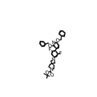 CC(C)(C)OC(=O)N1CCC2(CC1)CN(c1cc(F)c(-c3ccc(OCc4ccccc4)nc3OCc3ccccc3)c(F)c1)C2